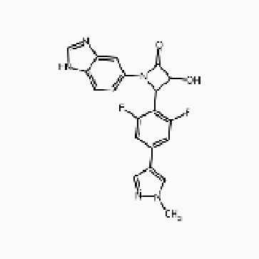 Cn1cc(-c2cc(F)c(C3C(O)C(=O)N3c3ccc4[nH]cnc4c3)c(F)c2)cn1